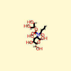 CCCC(=O)N(C(=O)OC(CO)CO)C1C(O)O[C@H](CO)[C@@H](O)[C@@H]1O